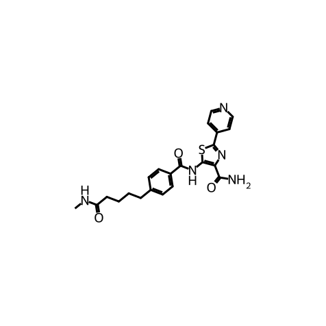 CNC(=O)CCCCc1ccc(C(=O)Nc2sc(-c3ccncc3)nc2C(N)=O)cc1